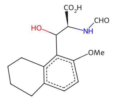 COc1ccc2c(c1C(O)[C@H](NC=O)C(=O)O)CCCC2